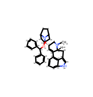 CN1C[C@@H](CN2C3CCC2CC(OC(c2ccccc2)c2ccccc2)C3)C=C2c3cccc4[nH]cc(c34)C[C@H]21